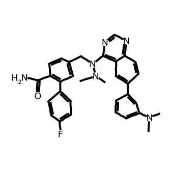 CN(C)c1cccc(-c2ccc3ncnc(N(Cc4ccc(C(N)=O)c(-c5ccc(F)cc5)c4)N(C)C)c3c2)c1